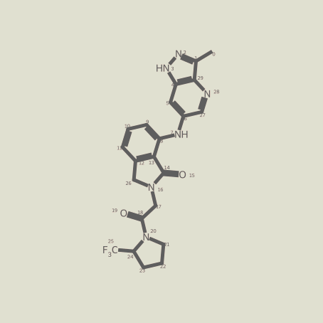 Cc1n[nH]c2cc(Nc3cccc4c3C(=O)N(CC(=O)N3CCCC3C(F)(F)F)C4)cnc12